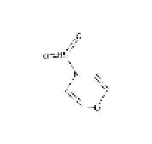 O=[SH](=O)N1C=COC=C1